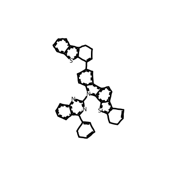 C1=CCCC(c2nc(-n3c4ccc(C5=CCCc6c5sc5ccccc65)cc4c4ccc5c6c(sc5c43)CCC=C6)nc3ccccc23)=C1